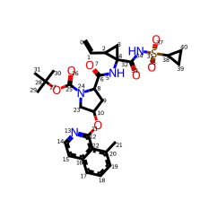 C=CC1CC1(NC(=O)C1CC(Oc2nccc3cccc(C)c23)CN1C(=O)OC(C)(C)C)C(=O)NS(=O)(=O)C1CC1